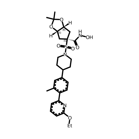 CCOc1cccc(-c2ccc(C3CCN(S(=O)(=O)[C@@]4(C(=O)NO)C[C@@H]5OC(C)(C)O[C@@H]5C4)CC3)cc2C)n1